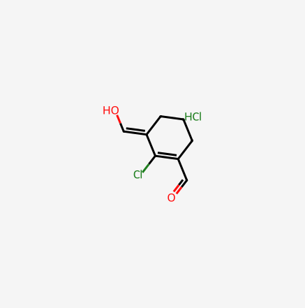 Cl.O=CC1=C(Cl)C(=CO)CCC1